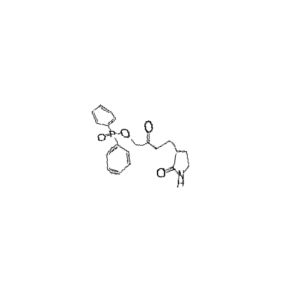 O=C(CCC1CCNC1=O)COP(=O)(c1ccccc1)c1ccccc1